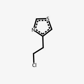 ClCCc1cscn1